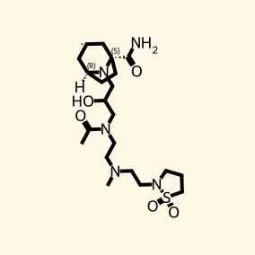 CC(=O)N(CCN(C)CCN1CCCS1(=O)=O)CC(O)CN1[C@@H]2C[CH]C[C@@]1(C(N)=O)CC2